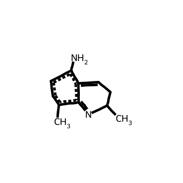 Cc1ccc(N)c2c1=NC(C)CC=2